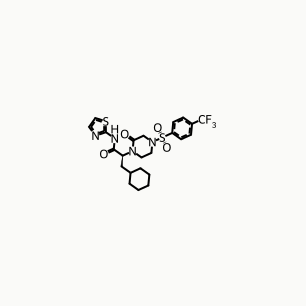 O=C(Nc1nccs1)[C@H](CC1CCCCC1)N1CCN(S(=O)(=O)c2ccc(C(F)(F)F)cc2)CC1=O